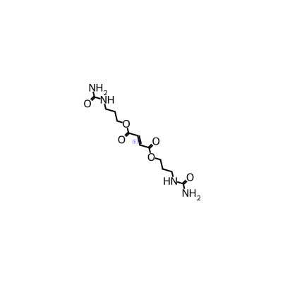 NC(=O)NCCCOC(=O)/C=C/C(=O)OCCCNC(N)=O